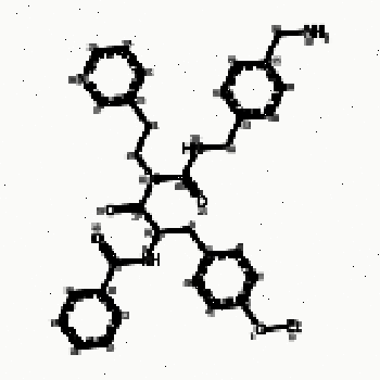 CCOc1ccc(C[C@@H](NC(=O)c2ccccc2)C(=O)N(CCc2cccnc2)C(=O)NCc2ccc(CN)cc2)cc1